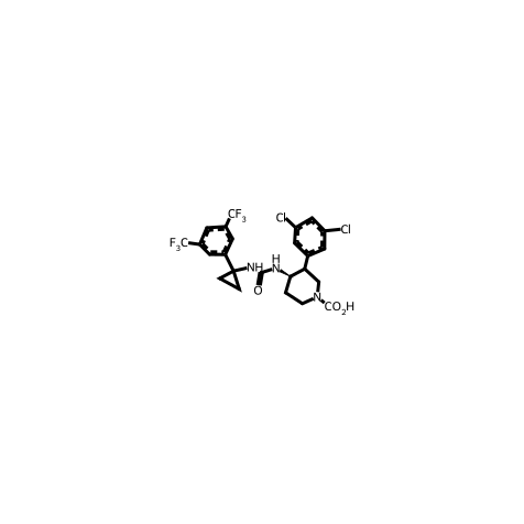 O=C(N[C@@H]1CCN(C(=O)O)CC1c1cc(Cl)cc(Cl)c1)NC1(c2cc(C(F)(F)F)cc(C(F)(F)F)c2)CC1